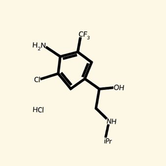 CC(C)NCC(O)c1cc(Cl)c(N)c(C(F)(F)F)c1.Cl